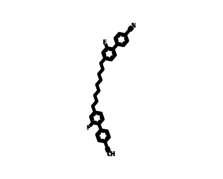 C#Cc1ccc(-c2ccc(CCCCCCCCCc3ccc(-c4ccc(C#N)cc4)c(F)c3)cc2F)cc1